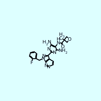 CC1(C(=O)Nc2c(N)nc(-c3nn(Cc4ccccc4F)c4nnccc34)nc2N)COC1